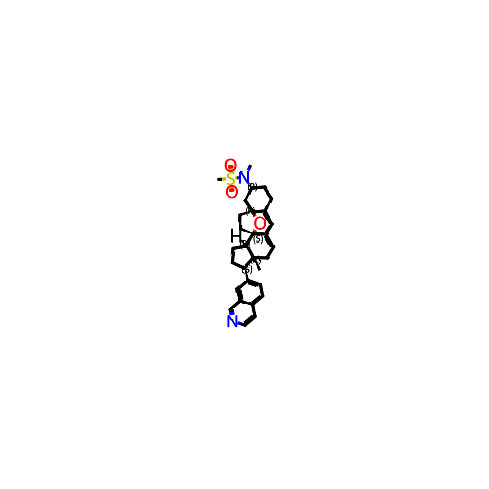 CN([C@@H]1CCC2=CC3=CC[C@]4(C)[C@@H](c5ccc6ccncc6c5)CC[C@H]4[C@@]34CC[C@]2(C1)O4)S(C)(=O)=O